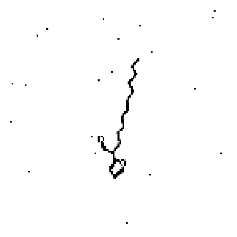 CCCCCCCCCCCC(C=O)c1ccco1